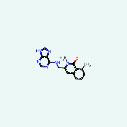 Bc1cccc2cc(CNc3ncnc4[nH]cnc34)n(B)c(=O)c12